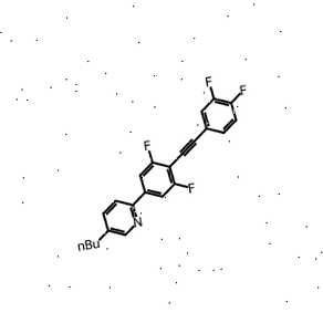 CCCCc1ccc(-c2cc(F)c(C#Cc3ccc(F)c(F)c3)c(F)c2)nc1